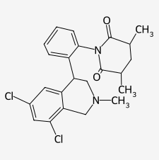 CC1CC(C)C(=O)N(c2ccccc2C2CN(C)Cc3c(Cl)cc(Cl)cc32)C1=O